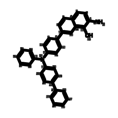 Nc1ccc2ccc(-c3ccc(N(c4ccccc4)c4ccc(-c5ccccc5)cc4)cc3)cc2c1O